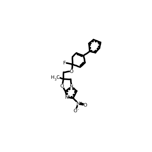 CC1(COC2(F)C=CC(c3ccccc3)=CC2)Cn2cc([N+](=O)[O-])nc2O1